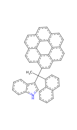 CC(c1cccc2ccccc12)(c1c[nH]c2ccccc12)c1cc2ccc3ccc4ccc5ccc6ccc1c1c6c5c4c3c21